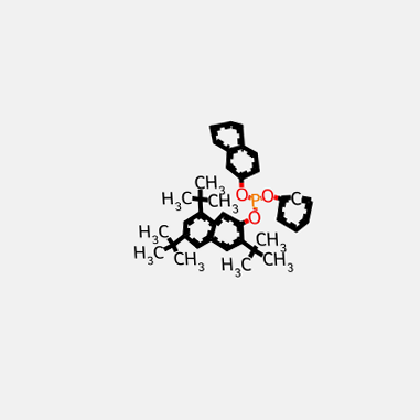 CC(C)(C)c1cc(C(C)(C)C)c2cc(OP(Oc3ccccc3)Oc3ccc4ccccc4c3)c(C(C)(C)C)cc2c1